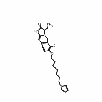 CCC1C(=O)NC2=Nc3ccc(OCCCCCCCn4ccnc4)c(Cl)c3CN21